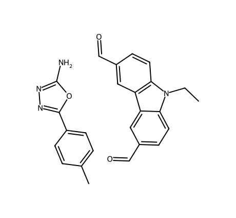 CCn1c2ccc(C=O)cc2c2cc(C=O)ccc21.Cc1ccc(-c2nnc(N)o2)cc1